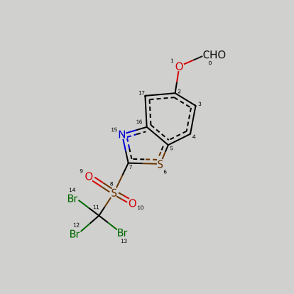 O=COc1ccc2sc(S(=O)(=O)C(Br)(Br)Br)nc2c1